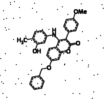 COc1ccc(-c2c(Nc3ccc(C)c(O)c3)c3ccc(OCc4ccccc4)cc3oc2=O)cc1